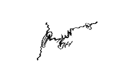 CCCCCCCCC(CCCCCCCC)OC(=O)CCCCN(CCO)CCCCCCCCCCCC(=O)OCCCC